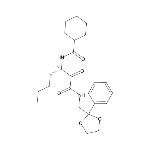 CCCC[C@H](NC(=O)C1CCCCC1)C(=O)C(=O)NCC1(c2ccccc2)OCCO1